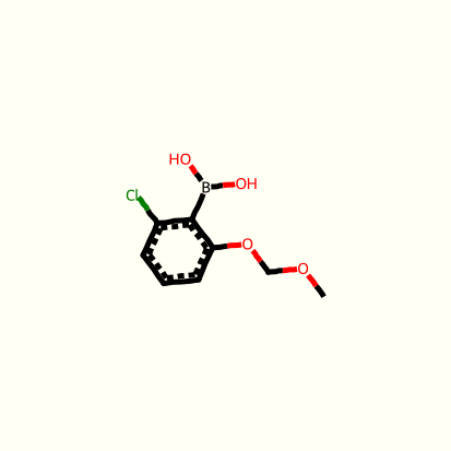 COCOc1cccc(Cl)c1B(O)O